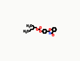 CCCCC(CC)COC(=O)Oc1ccc(-c2nc(=O)c3ccccc3o2)cc1